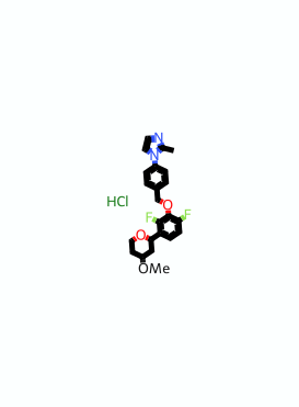 COC1CCOC(c2ccc(F)c(OCc3ccc(-n4ccnc4C)cc3)c2F)C1.Cl